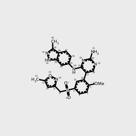 COc1ccc(S(=O)(=O)Cc2cc(C)on2)cc1-c1cnc(N)nc1Nc1ccc2c(C)n[nH]c2c1